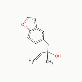 C=CC(C)(O)Cc1ccc2occc2c1